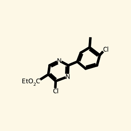 CCOC(=O)c1cnc(-c2ccc(Cl)c(C)c2)nc1Cl